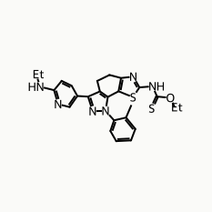 CCNc1ccc(-c2nn(-c3ccccc3C)c3c2CCc2nc(NC(=S)OCC)sc2-3)cn1